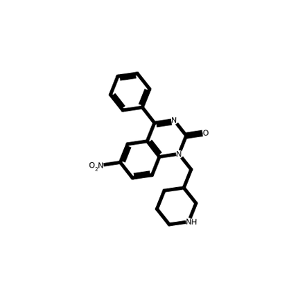 O=c1nc(-c2ccccc2)c2cc([N+](=O)[O-])ccc2n1CC1CCCNC1